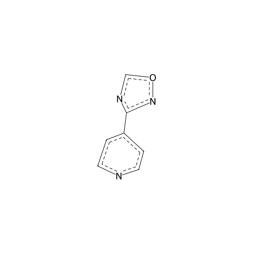 c1cc(-c2ncon2)ccn1